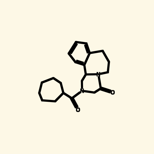 O=C(C1CCCCCC1)N1CC(=O)N2CCCc3ccccc3C2C1